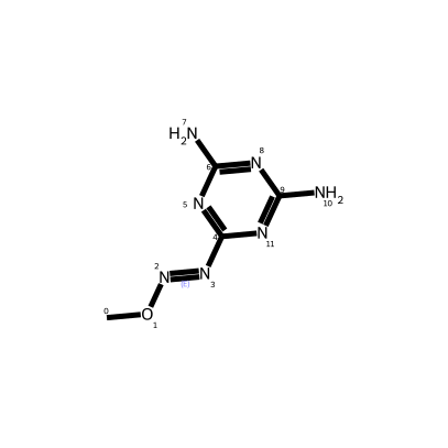 CO/N=N/c1nc(N)nc(N)n1